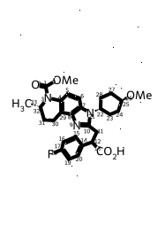 COC(=O)N1c2ccc3c(nc(CC(C(=O)O)c4ccc(F)cc4)n3[C@H]3CC[C@H](OC)CC3)c2CC[C@@H]1C